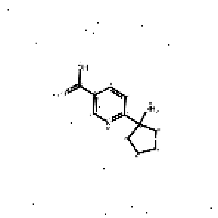 NC1(c2ccc(C(=O)O)cn2)CCCC1